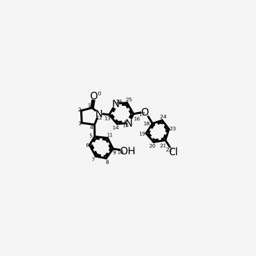 O=C1CCC(c2cccc(O)c2)N1c1cnc(Oc2ccc(Cl)cc2)cn1